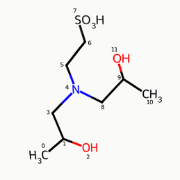 CC(O)CN(CCS(=O)(=O)O)CC(C)O